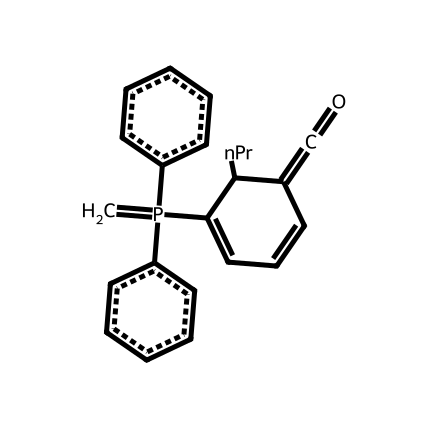 C=P(C1=CC=CC(=C=O)C1CCC)(c1ccccc1)c1ccccc1